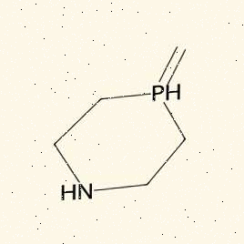 C=[PH]1CCNCC1